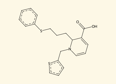 O=C(O)C1=CC=CN(Cc2cccs2)C1CCCSc1ccccc1